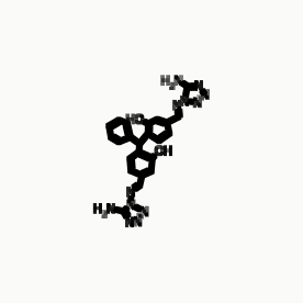 Nc1nnnn1N=Cc1ccc(C(c2ccccc2)c2ccc(C=Nn3nnnc3N)cc2O)c(O)c1